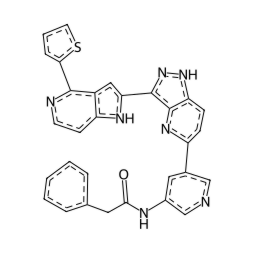 O=C(Cc1ccccc1)Nc1cncc(-c2ccc3[nH]nc(-c4cc5c(-c6cccs6)nccc5[nH]4)c3n2)c1